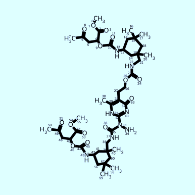 COC(=O)C(CC(C)=O)OC(=O)NC1CC(C)(C)CC(C)(CNC(=O)OCCc2c(C)[nH]c(N(N)C(=O)NCC3(C)CC(NC(=O)OC(CC(C)=O)C(=O)OC)CC(C)(C)C3)nc2=O)C1